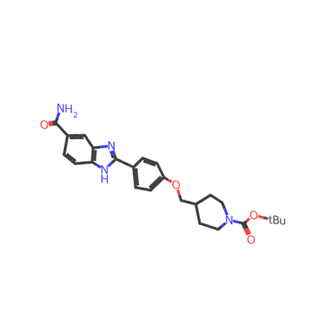 CC(C)(C)OC(=O)N1CCC(COc2ccc(-c3nc4cc(C(N)=O)ccc4[nH]3)cc2)CC1